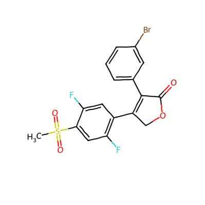 CS(=O)(=O)c1cc(F)c(C2=C(c3cccc(Br)c3)C(=O)OC2)cc1F